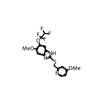 COc1ccnc(CSc2nc3cc(OC)c(OC(F)(F)C(F)F)cc3[nH]2)c1